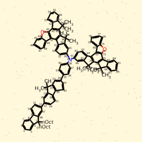 CCCCCCCCC1(CCCCCCCC)c2ccccc2-c2ccc(-c3ccc4c(c3)C(C)(C)c3cc(-c5ccc(N(c6ccc7c(c6)C(C)(C)c6c8c(c9oc%10ccccc%10c9c6-7)-c6ccccc6C8(C)C)c6ccc7c(c6)C(C)(C)c6c8c(c9oc%10ccccc%10c9c6-7)-c6ccccc6C8(C)C)cc5)ccc3-4)cc21